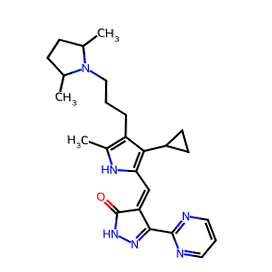 Cc1[nH]c(C=C2C(=O)NN=C2c2ncccn2)c(C2CC2)c1CCCN1C(C)CCC1C